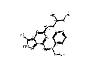 CC(C)c1[nH]nc2c(N[C@H](CO)c3ccccc3)nc(NCC(O)CO)nc12